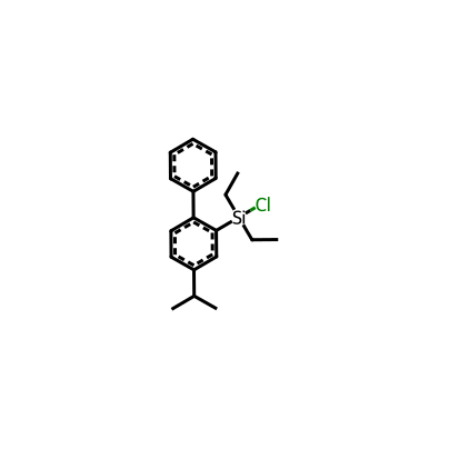 CC[Si](Cl)(CC)c1cc(C(C)C)ccc1-c1ccccc1